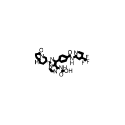 O=C(O)Nc1nccn2c([C@@H]3CC[C@H]4CCC(=O)N4C3)nc(-c3ccc(C(=O)Nc4cc(C(F)(F)F)ccn4)cc3)c12